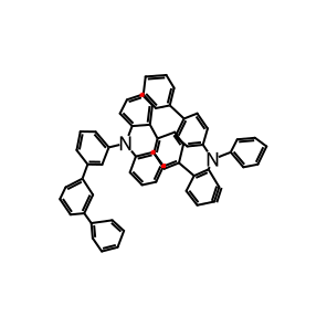 c1ccc(-c2ccc(-c3ccccc3N(c3ccccc3)c3cccc(-c4cccc(-c5ccccc5)c4)c3)cc2)c(N(c2ccccc2)c2ccc(-c3ccccc3)cc2)c#1